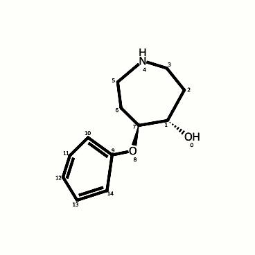 O[C@H]1CCNCC[C@@H]1Oc1ccccc1